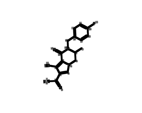 CC1Cn2cc(C(N)=O)c(O)c2C(=O)N1Cc1ccc(F)cc1